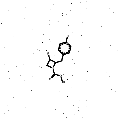 CC(C)(C)OC(=O)N1CC(F)C1Cc1ccc(Cl)cc1